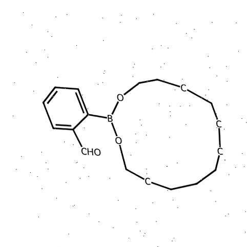 O=Cc1ccccc1B1OCCCCCCCCCCCO1